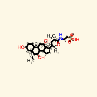 CC[C@H]1[C@@H](O)C2C3CC[C@H]([C@H](C)C[C@H](C)C(=O)NCCS(=O)(=O)O)[C@@]3(C)[C@@H](O)CC2[C@@]2(C)CC[C@@H](O)C[C@@H]12